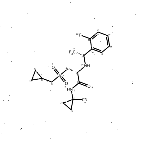 N#CC1(NC(=O)[C@H](CS(=O)(=O)CC2CC2)N[C@@H](c2ccccc2F)C(F)(F)F)CC1